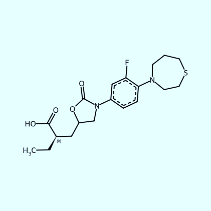 CC[C@H](CC1CN(c2ccc(N3CCCSCC3)c(F)c2)C(=O)O1)C(=O)O